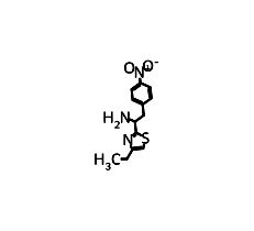 CCc1csc(C(N)Cc2ccc([N+](=O)[O-])cc2)n1